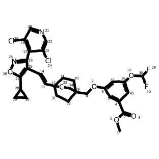 COC(=O)c1cc(OCC23CCC(/C=C/c4c(-c5c(Cl)cncc5Cl)noc4C4CC4)(CC2)CC3)cc(OC(F)F)c1